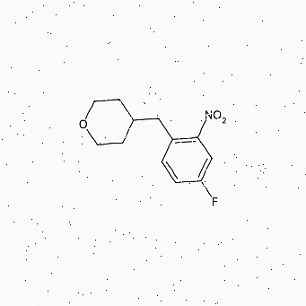 O=[N+]([O-])c1cc(F)ccc1CC1CCOCC1